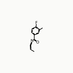 CC=C=NC(=O)c1ccc(F)c(C)c1